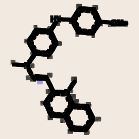 COc1ccc(Nc2ccc(N(C)/N=C/c3ccc4ccccc4[n+]3C)cc2)cc1